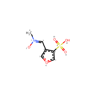 C[N+]([O-])=Cc1cocc1S(=O)(=O)O